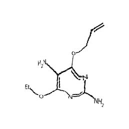 C=CCOc1nc(N)nc(OCC)c1N